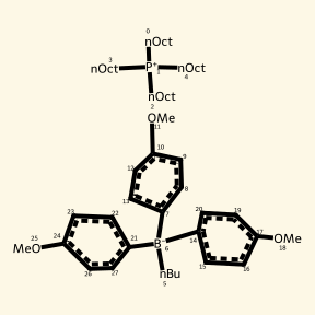 CCCCCCCC[P+](CCCCCCCC)(CCCCCCCC)CCCCCCCC.CCCC[B-](c1ccc(OC)cc1)(c1ccc(OC)cc1)c1ccc(OC)cc1